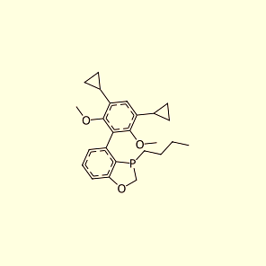 CCCCP1COc2cccc(-c3c(OC)c(C4CC4)cc(C4CC4)c3OC)c21